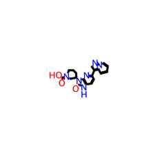 O=C(O)N1CCC[C@@H](n2c(=O)[nH]c3ccc(-c4cnn5ccccc45)nc32)C1